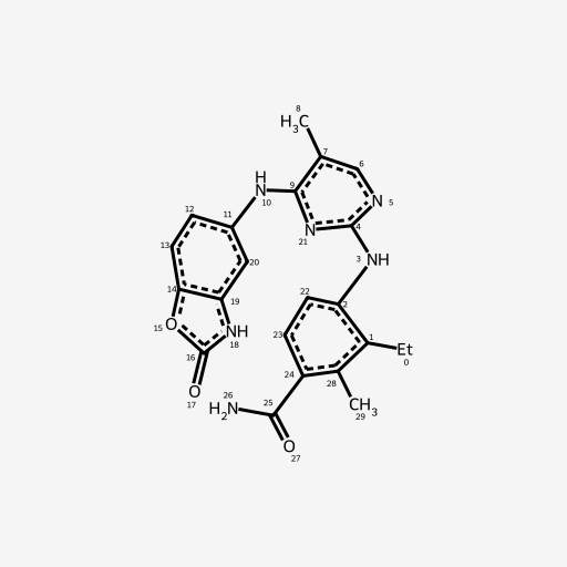 CCc1c(Nc2ncc(C)c(Nc3ccc4oc(=O)[nH]c4c3)n2)ccc(C(N)=O)c1C